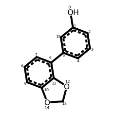 Oc1cccc(-c2cc[c]c3c2OCO3)c1